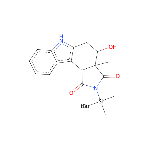 CC12C(=O)N([Si](C)(C)C(C)(C)C)C(=O)C1c1c([nH]c3ccccc13)CC2O